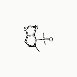 Cc1ccc2scnc2c1P(C)(C)=O